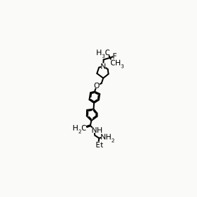 C=C(NCC(N)CC)c1ccc(-c2ccc(OCC3CCN(CC(C)(C)F)CC3)cc2)cc1